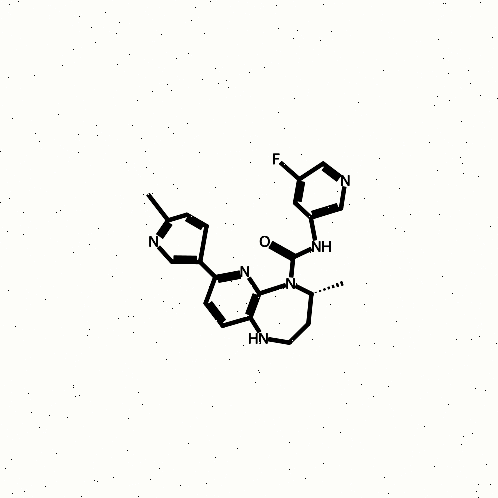 Cc1ccc(-c2ccc3c(n2)N(C(=O)Nc2cncc(F)c2)[C@H](C)CCN3)cn1